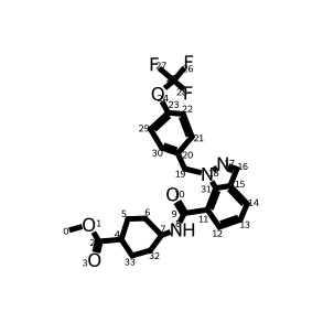 COC(=O)C1CCC(NC(=O)c2cccc3cnn(Cc4ccc(OC(F)(F)F)cc4)c23)CC1